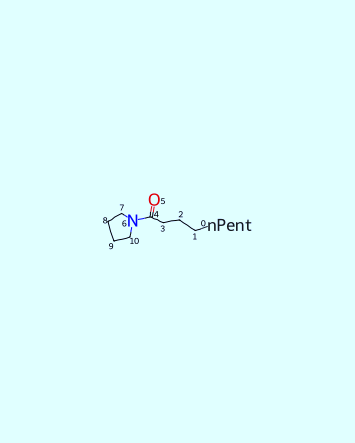 CCCCCCCCC(=O)N1CCCC1